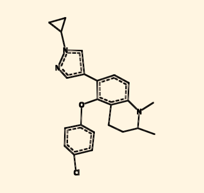 CC1CCc2c(ccc(-c3cnn(C4CC4)c3)c2Oc2ccc(Cl)cc2)N1C